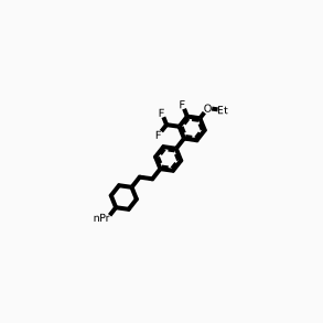 CCCC1CCC(CCc2ccc(-c3ccc(OCC)c(F)c3C(F)F)cc2)CC1